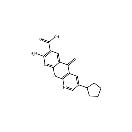 Nc1nc2oc3ncc(C4CCCC4)cc3c(=O)c2cc1C(=O)O